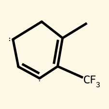 CC1=C(C(F)(F)F)[C]=C[C]C1